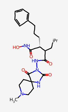 CC(C)CC(C(=O)NN1C(=O)NC2(CCN(C)CC2)C1=O)[C@@H](CCCc1ccccc1)C(=O)NO